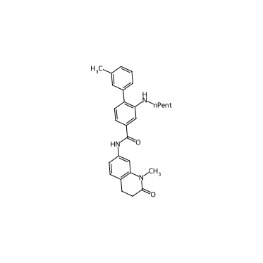 CCCCCNc1cc(C(=O)Nc2ccc3c(c2)N(C)C(=O)CC3)ccc1-c1cccc(C)c1